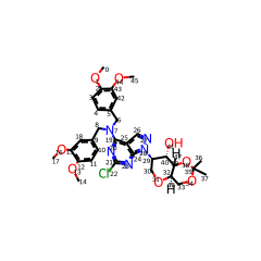 COc1ccc(CN(Cc2ccc(OC)c(OC)c2)c2nc(Cl)nc3c2cnn3[C@@H]2CO[C@@H]3COC(C)(C)O[C@H]3[C@H]2O)cc1OC